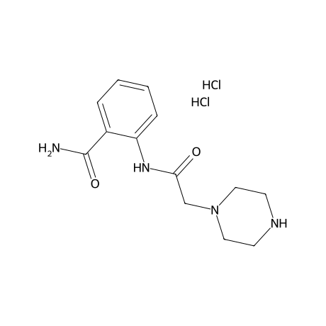 Cl.Cl.NC(=O)c1ccccc1NC(=O)CN1CCNCC1